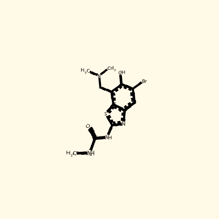 CNC(=O)Nc1nc2cc(Br)c(O)c(CN(C)C)c2s1